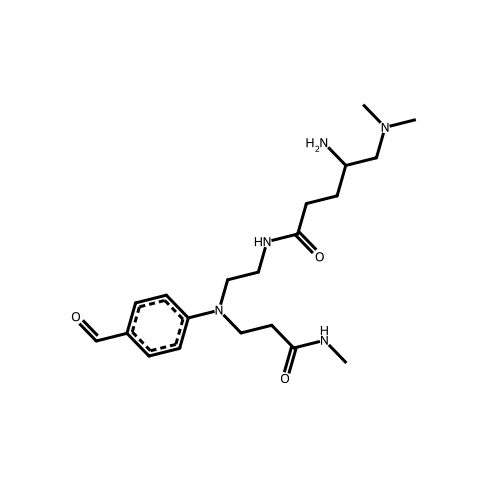 CNC(=O)CCN(CCNC(=O)CCC(N)CN(C)C)c1ccc(C=O)cc1